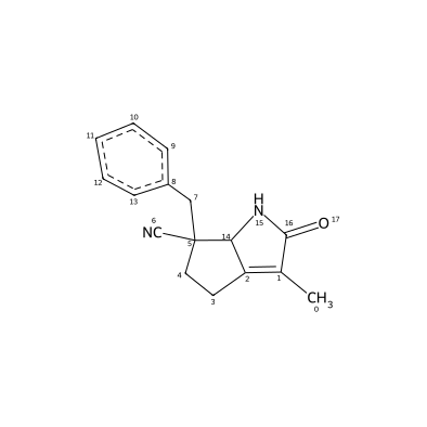 CC1=C2CCC(C#N)(Cc3ccccc3)C2NC1=O